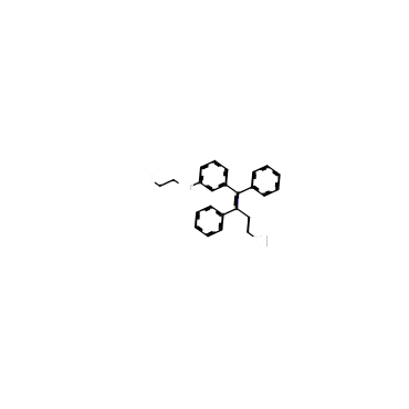 OCCOc1cccc(/C(=C(/CCCl)c2ccccc2)c2ccccc2)c1